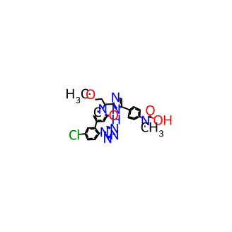 COCCC(c1ncc(-c2ccc(N(C)C(=O)O)cc2)[nH]1)n1ccc(-c2cc(Cl)ccc2-n2cnnn2)cc1=O